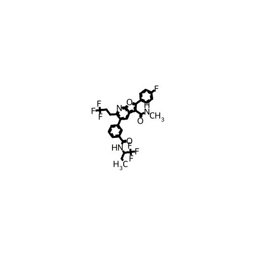 CCC(NC(=O)c1cccc(-c2cc3c(C(=O)NC)c(-c4ccc(F)cc4)oc3nc2CCC(F)(F)F)c1)C(F)(F)F